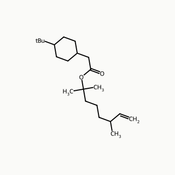 C=CC(C)CCCC(C)(C)OC(=O)CC1CCC(C(C)(C)C)CC1